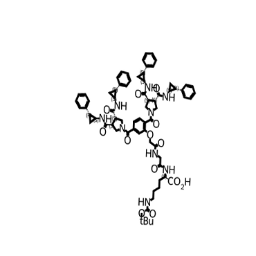 CC(C)(C)OC(=O)NCCCC[C@H](NC(=O)CNC(=O)COc1cc(C(=O)N2C[C@@H](C(=O)N[C@H]3C[C@@H]3c3ccccc3)[C@H](C(=O)N[C@H]3C[C@@H]3c3ccccc3)C2)ccc1C(=O)N1C[C@@H](C(=O)N[C@H]2C[C@@H]2c2ccccc2)[C@H](C(=O)N[C@H]2C[C@@H]2c2ccccc2)C1)C(=O)O